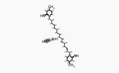 Br.Br.Br.Br.Cc1ccn(CCCCCCCCCCCCCCCCn2ccc(C)cc2=N)c(=N)c1